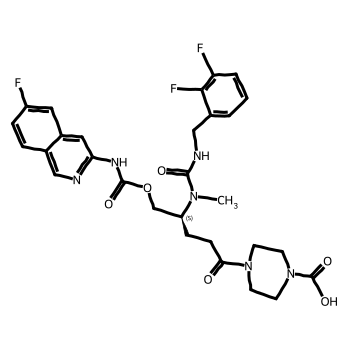 CN(C(=O)NCc1cccc(F)c1F)[C@@H](CCC(=O)N1CCN(C(=O)O)CC1)COC(=O)Nc1cc2cc(F)ccc2cn1